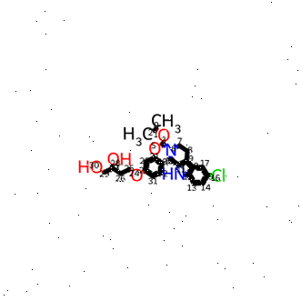 CC(C)OC(=O)N1CCc2c([nH]c3ccc(Cl)cc23)[C@@H]1c1ccc(OCC[C@H](O)CO)cc1